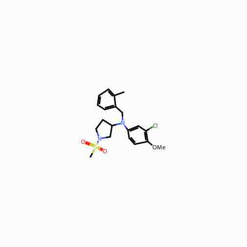 COc1ccc(N(Cc2ccccc2C)C2CCN(S(C)(=O)=O)C2)cc1Cl